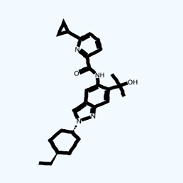 CC[C@H]1CC[C@H](n2cc3cc(NC(=O)c4cccc(C5CC5)n4)c(C(C)(C)O)cc3n2)CC1